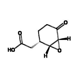 O=C(O)C[C@@H]1CCC(=O)[C@@H]2O[C@H]12